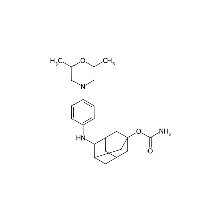 CC1CN(c2ccc(NC3C4CC5CC3CC(OC(N)=O)(C5)C4)cc2)CC(C)O1